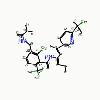 C=C(NC(=C/CC)/C=C(\C)c1ccc(C(C)(C)F)nc1)c1c(C(F)(F)F)ccc(CNC(=C)C(C)C)c1F